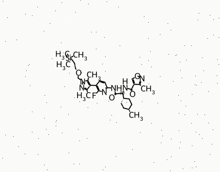 Cc1nocc1C(=O)N[C@H](C(=O)Nc1ccc(-c2c(C)nn(COCC[Si](C)(C)C)c2C)c(F)n1)[C@H]1CC[C@H](C)CC1